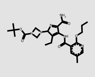 CCCOc1ncc(C)cc1C(=O)NC1=C(CC)C(N2CN(C(=O)OC(C)(C)C)C2)N=C1C(N)=O